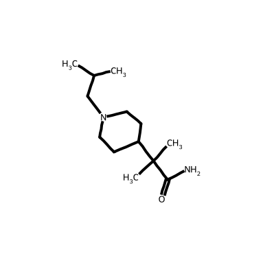 CC(C)CN1CCC(C(C)(C)C(N)=O)CC1